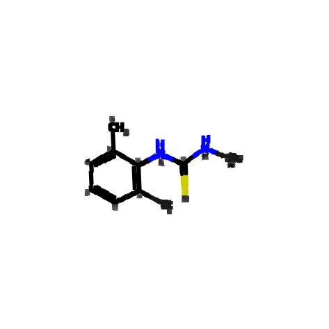 CCc1cccc(C)c1NC(=S)NC(C)(C)C